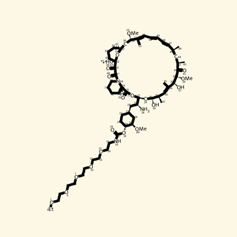 CCOCCOCCOCCOCCOCCNC(=O)O[C@@H]1CC[C@@H](C[C@@H](N)[C@@H]2C[C@@H](O)[C@H](C)/C=C(\C)[C@@H](O)[C@@H](OC)C(=O)[C@H](C)C[C@H](C)/C=C/C=C/C=C(\C)[C@@H](OC)C[C@@H]3CC[C@@H](C)[C@@](O)(O3)C(=O)C(=O)N3CCCC[C@H]3C(=O)O2)C[C@H]1OC